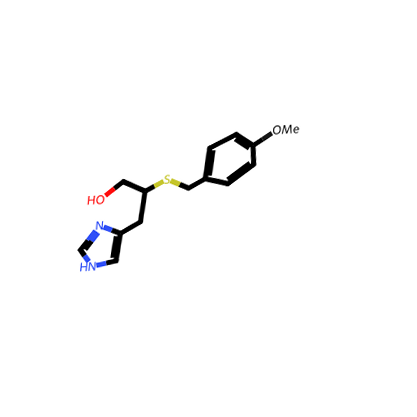 COc1ccc(CSC(CO)Cc2c[nH]cn2)cc1